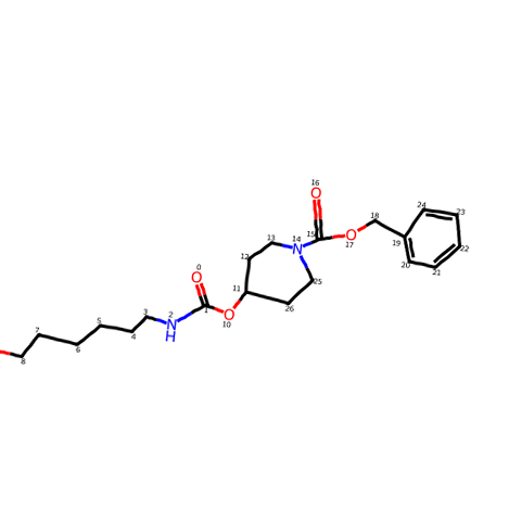 O=C(NCCCCCCO)OC1CCN(C(=O)OCc2ccccc2)CC1